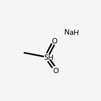 C[SH](=O)=O.[NaH]